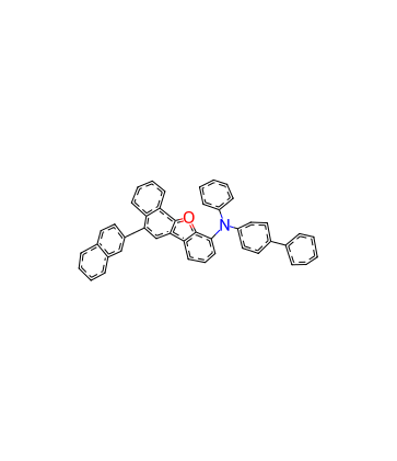 c1ccc(-c2ccc(N(c3ccccc3)c3cccc4c3oc3c5ccccc5c(-c5ccc6ccccc6c5)cc43)cc2)cc1